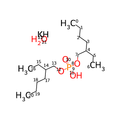 CCCCC(CC)COP(=O)(O)OCC(CC)CCCC.O.[KH]